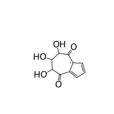 O=C1[C]2C=CC=C2C(=O)C(O)C(O)C1O